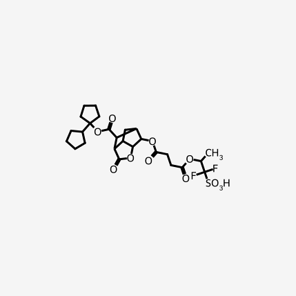 CC(OC(=O)CCC(=O)OC1C2CC3C1OC(=O)C3C2C(=O)OC1(C2CCCC2)CCCC1)C(F)(F)S(=O)(=O)O